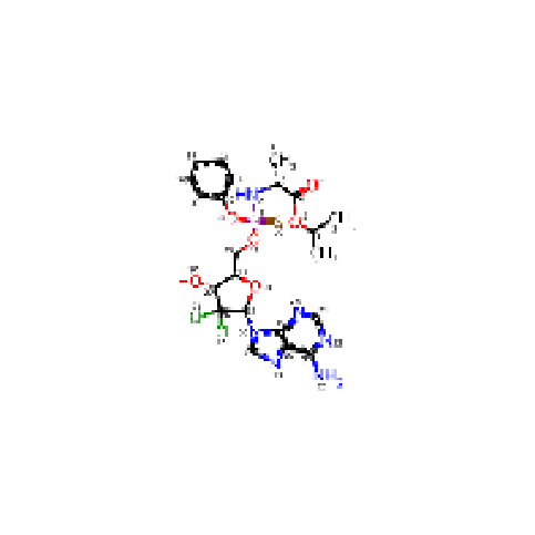 CC(C)OC(=O)[C@@H](C)N[P@](=S)(OC[C@H]1O[C@@H](n2cnc3c(N)ncnc32)C(Cl)(Cl)[C@@H]1O)Oc1ccccc1